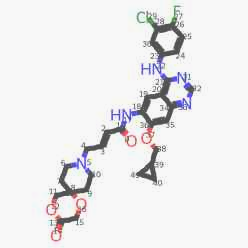 O=C(C=CCN1CCC2(CC1)COC(=O)CO2)Nc1cc2c(Nc3ccc(F)c(Cl)c3)ncnc2cc1OCC1CC1